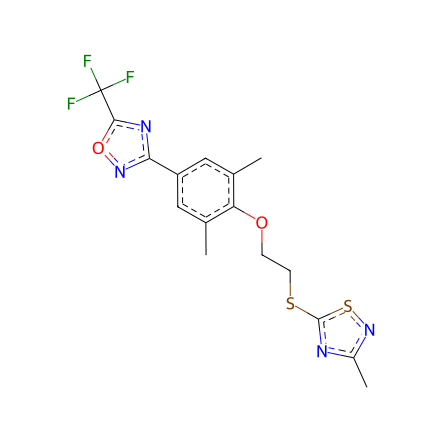 Cc1nsc(SCCOc2c(C)cc(-c3noc(C(F)(F)F)n3)cc2C)n1